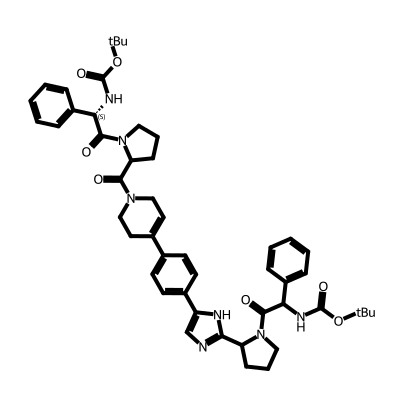 CC(C)(C)OC(=O)NC(C(=O)N1CCCC1c1ncc(-c2ccc(C3=CCN(C(=O)C4CCCN4C(=O)[C@@H](NC(=O)OC(C)(C)C)c4ccccc4)CC3)cc2)[nH]1)c1ccccc1